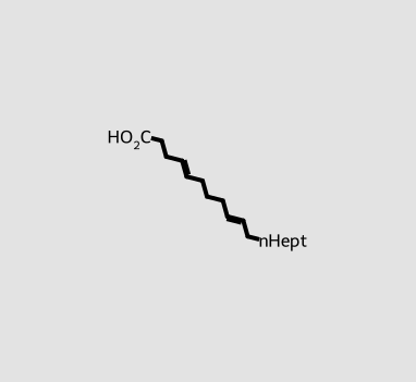 CCCCCCCCC=CCCCC=CCCC(=O)O